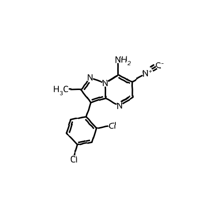 [C-]#[N+]c1cnc2c(-c3ccc(Cl)cc3Cl)c(C)nn2c1N